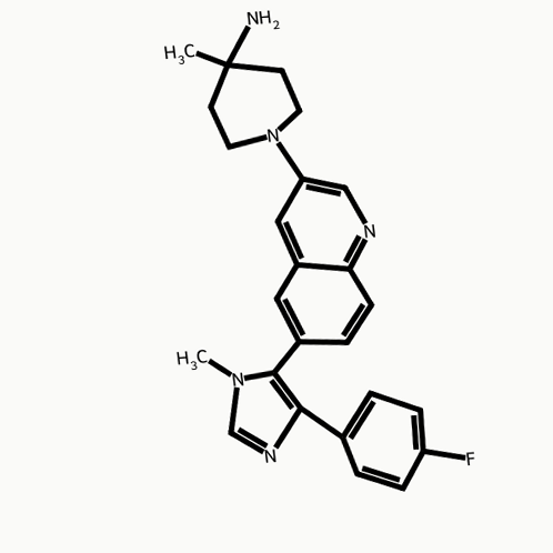 Cn1cnc(-c2ccc(F)cc2)c1-c1ccc2ncc(N3CCC(C)(N)CC3)cc2c1